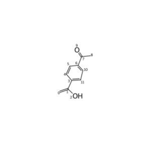 C=C(O)c1ccc(C(C)=O)cc1